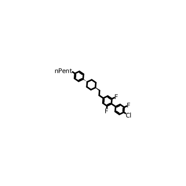 CCCCCc1ccc([C@H]2CC[C@H](CCc3cc(F)c(-c4ccc(Cl)c(F)c4)c(F)c3)CC2)cc1